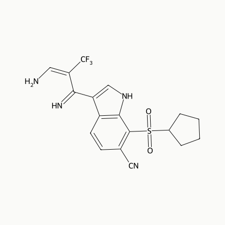 N#Cc1ccc2c(C(=N)/C(=C\N)C(F)(F)F)c[nH]c2c1S(=O)(=O)C1CCCC1